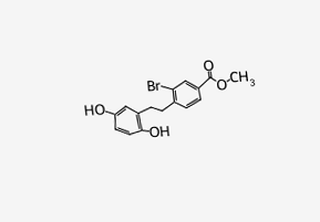 COC(=O)c1ccc(CCc2cc(O)ccc2O)c(Br)c1